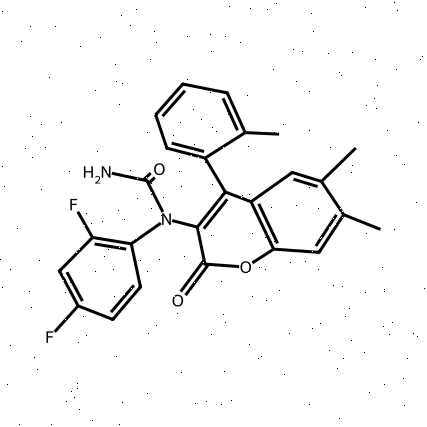 Cc1cc2oc(=O)c(N(C(N)=O)c3ccc(F)cc3F)c(-c3ccccc3C)c2cc1C